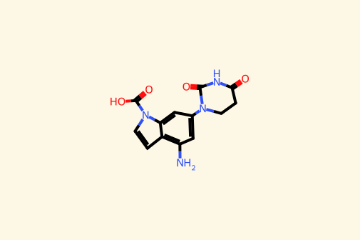 Nc1cc(N2CCC(=O)NC2=O)cc2c1ccn2C(=O)O